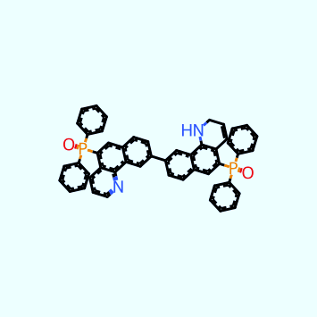 O=P(c1ccccc1)(c1ccccc1)c1cc2ccc(-c3ccc4cc(P(=O)(c5ccccc5)c5ccccc5)c5cccnc5c4c3)cc2c2c1C=CCN2